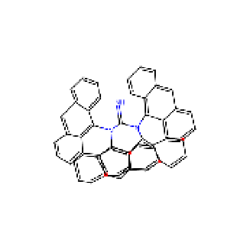 N=C(N(c1c2ccccc2cc2ccccc12)c1c2ccccc2cc2ccccc12)N(c1c2ccccc2cc2ccccc12)c1c2ccccc2cc2ccccc12